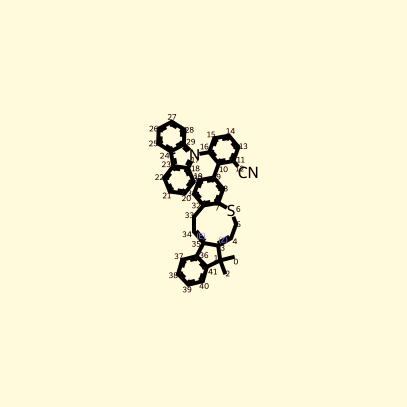 CC1(C)C2=C/CSc3cc(-c4c(C#N)cccc4-n4c5ccccc5c5ccccc54)ccc3C/C=C\2c2ccccc21